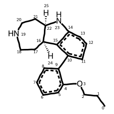 CCCOc1ccccc1-c1cccc2c1[C@H]1CCNCC[C@H]1N2